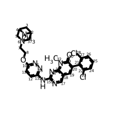 CN1C2CC1CN(CCOc1ccc(Nc3ncc4cc(-c5c(Cl)cccc5Cl)c(=O)n(C)c4n3)nn1)C2